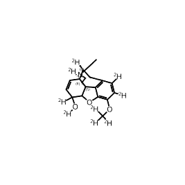 [2H]OC1([2H])C=C[C@]2([2H])[C@@]34CCN(C)[C@]2([2H])Cc2c([2H])c([2H])c(OC([2H])([2H])[2H])c(c23)OC14